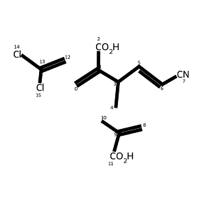 C=C(C(=O)O)C(C)C=CC#N.C=C(C)C(=O)O.C=C(Cl)Cl